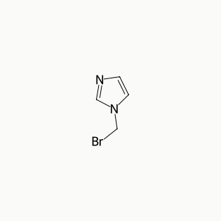 BrCn1ccnc1